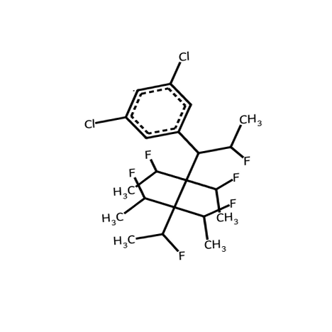 CC(F)C(c1cc(Cl)[c]c(Cl)c1)C(C(C)F)(C(C)F)C(C(C)F)(C(C)F)C(C)F